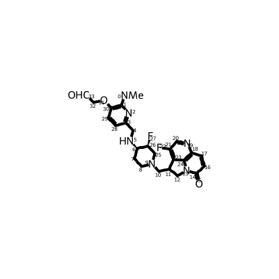 CNc1nc(CN[C@@H]2CCN(CC3Cn4c(=O)ccc5ncc(F)c3c54)C[C@@H]2F)ccc1OCC=O